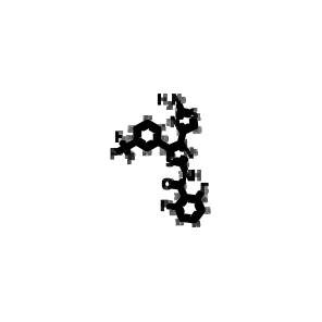 Nc1nc(-c2nc(NC(=O)c3c(F)cccc3F)sc2-c2cccc(C(F)(F)F)c2)cs1